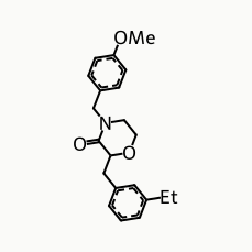 CCc1cccc(CC2OCCN(Cc3ccc(OC)cc3)C2=O)c1